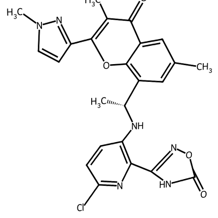 Cc1cc([C@@H](C)Nc2ccc(Cl)nc2-c2noc(=O)[nH]2)c2oc(-c3ccn(C)n3)c(C)c(=O)c2c1